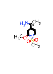 COC1=CC([C@H](C)N)=CCN1S(C)(=O)=O